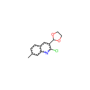 Cc1ccc2cc(C3OCCO3)c(Cl)nc2c1